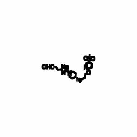 CS(=O)(=O)c1ccc(OCCC2C[C@@H]2C2CCN(c3nc(CCC=O)no3)CC2)nc1